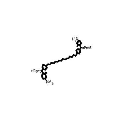 CCCCCC(c1ccc(CCCCCCCCCCCCCCCCc2ccc(C(CCCCC)c3ccc(N)cc3C)cc2)cc1)c1ccc(N)cc1C